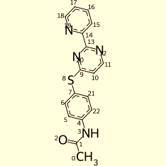 CC(=O)Nc1ccc(Sc2ccnc(-c3ccccn3)n2)cc1